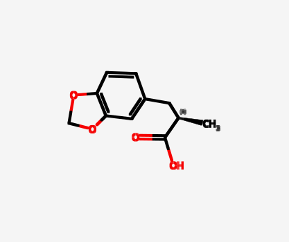 C[C@H](Cc1ccc2c(c1)OCO2)C(=O)O